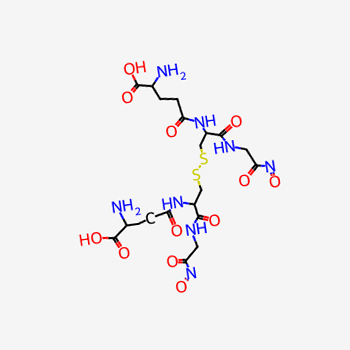 NC(CCC(=O)NC(CSSCC(NC(=O)CCC(N)C(=O)O)C(=O)NCC(=O)N=O)C(=O)NCC(=O)N=O)C(=O)O